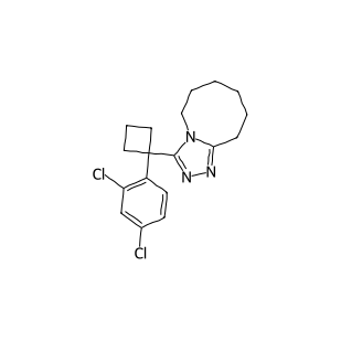 Clc1ccc(C2(c3nnc4n3CCCCCC4)CCC2)c(Cl)c1